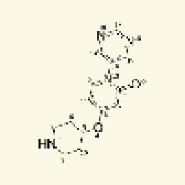 O=c1cc(OC2CCNCC2)ccn1-c1cncnc1